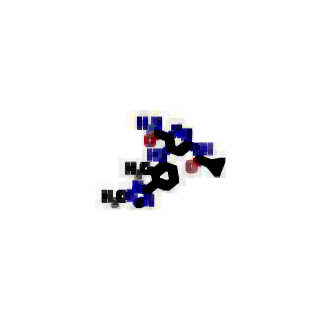 Cc1c(Nc2cc(NC(=O)C3CC3)nnc2C(N)=O)cccc1-c1ncn(C)n1